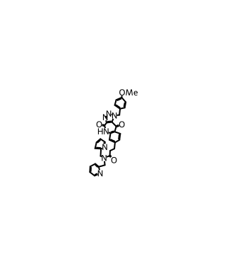 COc1ccc(Cn2nnc3c(=O)[nH]c4cc(CCC(=O)N(Cc5ccccn5)Cc5ccccn5)ccc4c(=O)c32)cc1